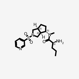 CCC[C@H](N)C(=O)N(C)[C@H]1CC[C@@H]2CN(S(=O)(=O)c3cccnc3)C[C@@H]21